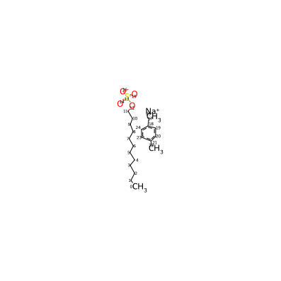 CCCCCCCCCCCCOS(=O)(=O)[O-].Cc1ccc(C)cc1.[Na+]